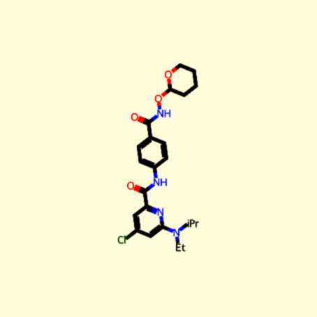 CCN(c1cc(Cl)cc(C(=O)Nc2ccc(C(=O)NOC3CCCCO3)cc2)n1)C(C)C